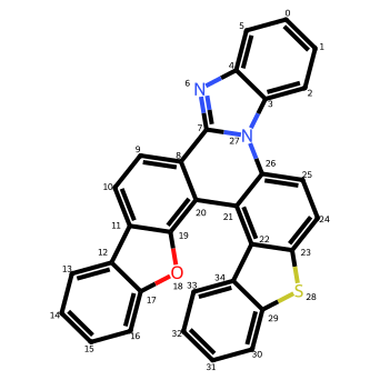 c1ccc2c(c1)nc1c3ccc4c5ccccc5oc4c3c3c4c(ccc3n21)sc1ccccc14